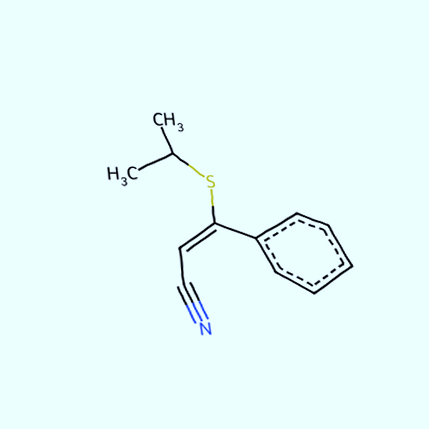 CC(C)S/C(=C/C#N)c1ccccc1